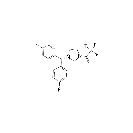 C=C(N1CCN(C(c2ccc(C)cc2)c2ccc(F)cc2)C1)C(F)(F)F